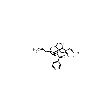 C=CCC12C=C(C(=O)c3ccccc3)C3(CC=C)C(COC3(CC=C)C1=O)C2